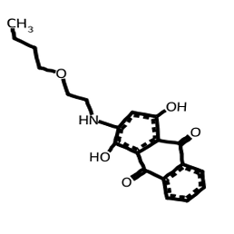 CCCCOCCNc1cc(O)c2c(c1O)C(=O)c1ccccc1C2=O